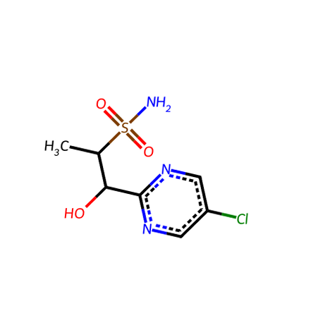 CC(C(O)c1ncc(Cl)cn1)S(N)(=O)=O